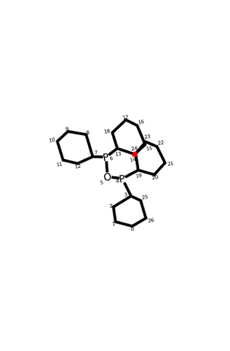 C1CCC(P(OP(C2CCCCC2)C2CCCCC2)C2CCCCC2)CC1